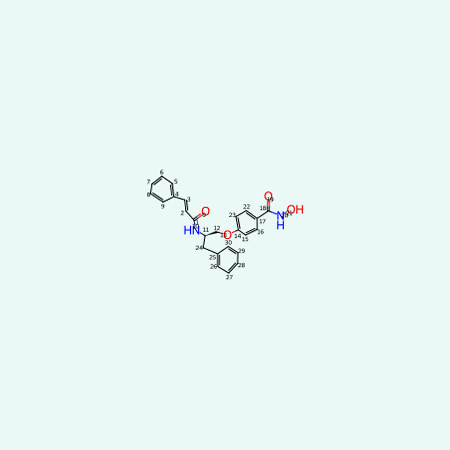 O=C(/C=C/c1ccccc1)N[C@@H](COc1ccc(C(=O)NO)cc1)Cc1ccccc1